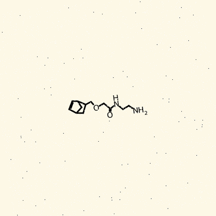 NCCNC(=O)COCC1CC2C=CC1C2